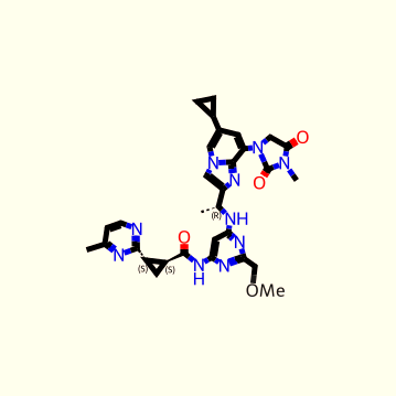 COCc1nc(NC(=O)[C@H]2C[C@@H]2c2nccc(C)n2)cc(N[C@H](C)c2cn3cc(C4CC4)cc(N4CC(=O)N(C)C4=O)c3n2)n1